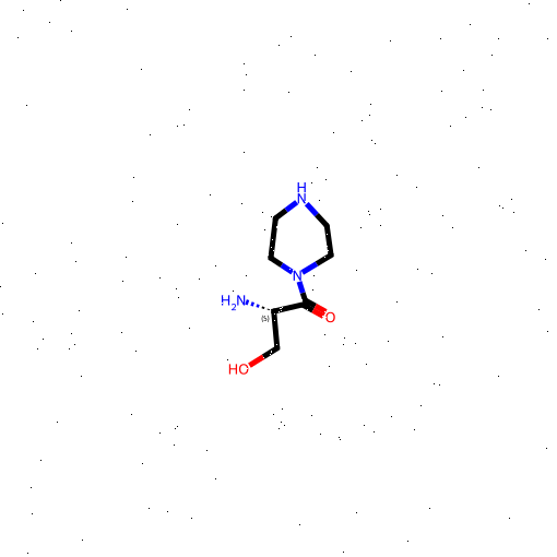 N[C@@H](CO)C(=O)N1CCNCC1